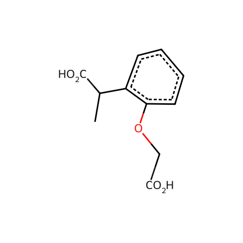 CC(C(=O)O)c1ccccc1OCC(=O)O